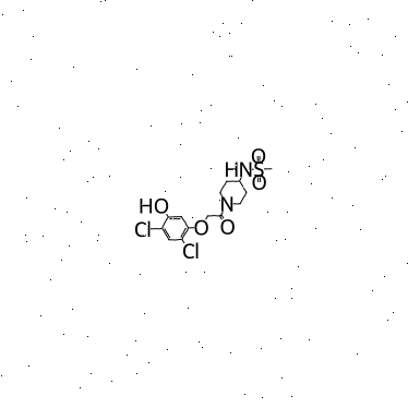 CS(=O)(=O)NC1CCN(C(=O)COc2cc(O)c(Cl)cc2Cl)CC1